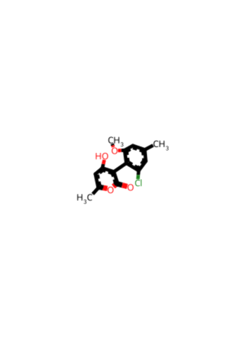 COc1cc(C)cc(Cl)c1-c1c(O)cc(C)oc1=O